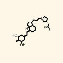 C=C1[C@H](O)CC(=C/C=C2\CCC[C@]3(C)[C@@H]([C@H](C)CCN4CC[C@H](CC(F)F)C4)CC[C@@H]23)C[C@H]1O